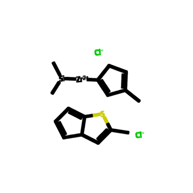 CC1=CC2C=CC=C2S1.CC1=CC[C]([Zr+2][Si](C)C)=C1.[Cl-].[Cl-]